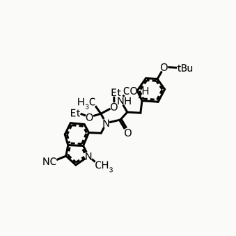 CCOC(C)(OCC)N(Cc1cccc2c(C#N)cn(C)c12)C(=O)C(Cc1ccc(OC(C)(C)C)cc1)NC(=O)O